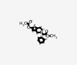 COC(=O)[C@H](c1ccccc1)N1CCc2sc(OC(C)=O)cc2C1